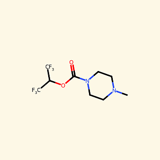 CN1CCN(C(=O)OC(C(F)(F)F)C(F)(F)F)CC1